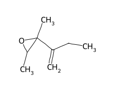 C=C(CC)C1(C)OC1C